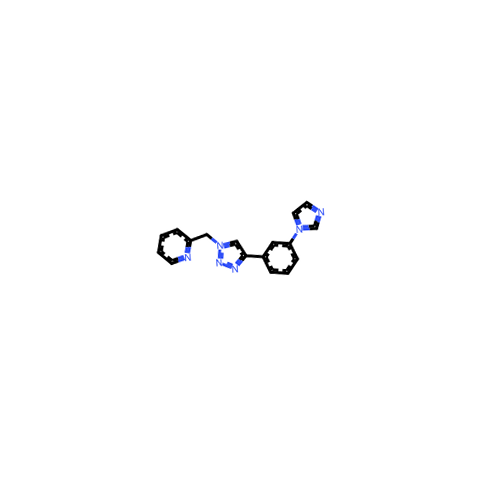 c1ccc(Cn2cc(-c3cccc(-n4ccnc4)c3)nn2)nc1